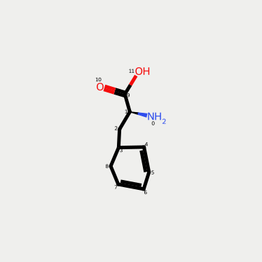 N[C@@H](CC1C=CC=CC1)C(=O)O